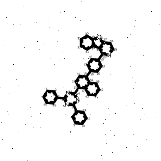 c1ccc(-c2nc(-c3ccccc3)nc(-c3ccc(-c4ccc(-c5nccc6oc7ccccc7c56)cc4)c4ccccc34)n2)cc1